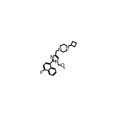 COCn1cc(CN2CCN(C3CCC3)CC2)nc1-c1ccc(F)c2ccccc12